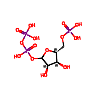 O=P(O)(O)OC[C@H]1OC(OP(=O)(O)OP(=O)(O)O)[C@H](O)[C@@H]1O